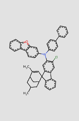 CC1=CC2(c3ccccc3-c3cc(Cl)c(N(c4ccc(-c5ccccc5)cc4)c4ccc5c(c4)oc4ccccc45)cc32)C2CC(C)CC1C2